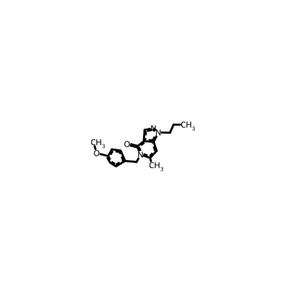 CCCn1ncc2c(=O)n(Cc3ccc(OC)cc3)c(C)cc21